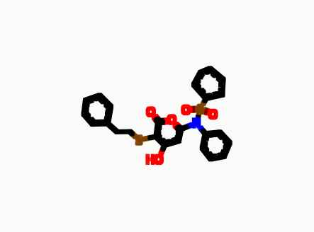 O=c1oc(N(c2ccccc2)S(=O)(=O)c2ccccc2)cc(O)c1SCCc1ccccc1